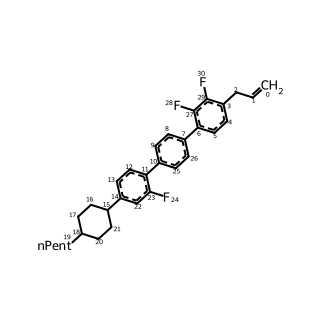 C=CCc1ccc(-c2ccc(-c3ccc(C4CCC(CCCCC)CC4)cc3F)cc2)c(F)c1F